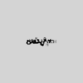 CC(C)(O)CNC(=O)c1cccc(-c2cnc3[nH]c(-c4ccccc4)cc3c2)n1